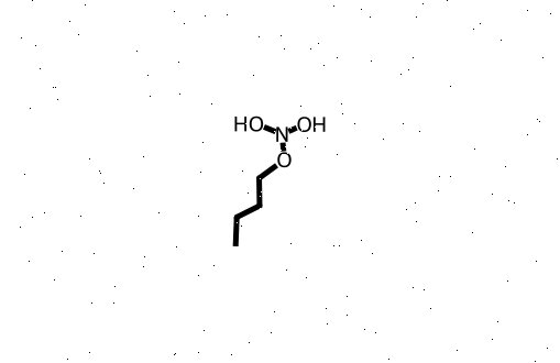 CCCCON(O)O